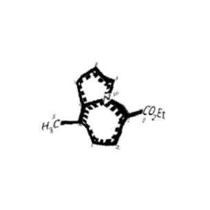 CCOC(=O)c1ccc(C)c2cccn12